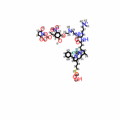 COc1cc(C(C)OC(=O)ON2C(=O)CCC2=O)c([N+](=O)[O-])cc1OCCN(C)CCNC(=O)C(CCCC[N+](C)(C)C)NC(=O)CCC1=[N+]2C(=Cc3c(CCCSOOO)cc(-c4ccccc4)n3[B-]2(F)F)C(C)=C1